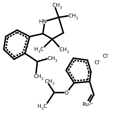 CC(C)Oc1ccccc1[CH]=[Ru+2].CC(C)c1ccccc1C1NC(C)(C)CC1(C)C.[Cl-].[Cl-]